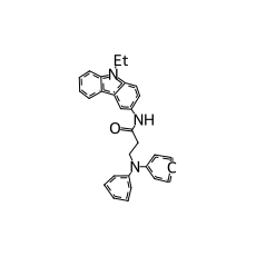 CCn1c2ccccc2c2cc(NC(=O)CCN(c3ccccc3)c3ccccc3)ccc21